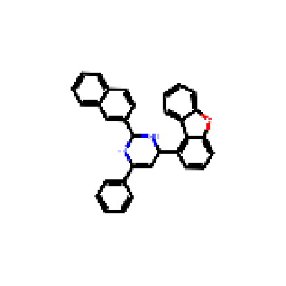 C1=C(c2ccccc2)NC(c2ccc3ccccc3c2)NC1c1cccc2oc3ccccc3c12